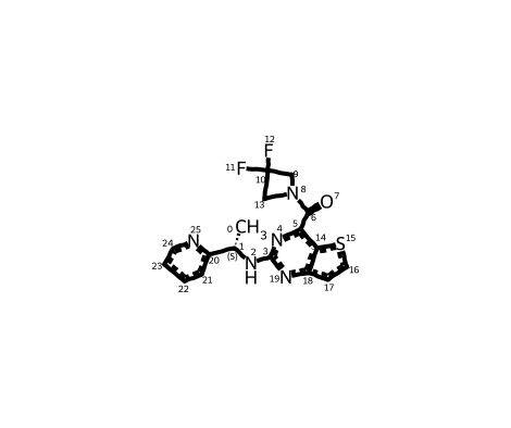 C[C@H](Nc1nc(C(=O)N2CC(F)(F)C2)c2sccc2n1)c1ccccn1